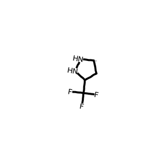 FC(F)(F)C1C[CH]NN1